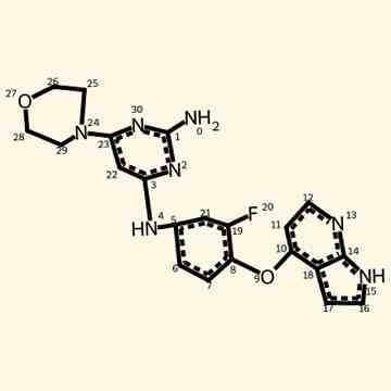 Nc1nc(Nc2ccc(Oc3ccnc4[nH]ccc34)c(F)c2)cc(N2CCOCC2)n1